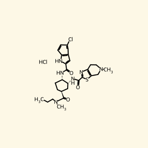 CCCN(C)C(=O)[C@H]1CC[C@H](NC(=O)c2cc3cc(Cl)ccc3[nH]2)[C@H](NC(=O)c2nc3c(s2)CN(C)CC3)C1.Cl